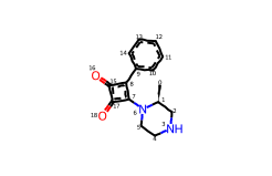 C[C@H]1CNCCN1c1c(-c2ccccc2)c(=O)c1=O